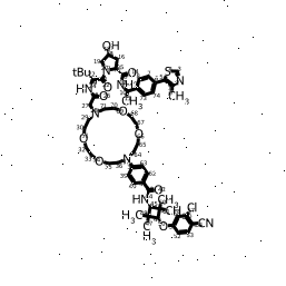 Cc1ncsc1-c1ccc(C(C)NC(=O)[C@@H]2C[C@@H](O)CN2C(=O)[C@@H](NC(=O)CN2CCOCCOCCN(c3ccc(C(=O)N[C@H]4C(C)(C)[C@H](Oc5ccc(C#N)c(Cl)c5)C4(C)C)cc3)CCOCCOCC2)C(C)(C)C)cc1